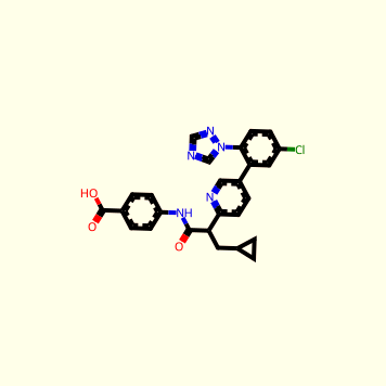 O=C(O)c1ccc(NC(=O)C(CC2CC2)c2ccc(-c3cc(Cl)ccc3-n3cncn3)cn2)cc1